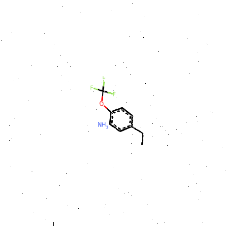 CCc1ccc(OC(F)(F)F)cc1.N